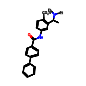 CCN(CC)C(C)c1cc(NC(=O)c2ccc(-c3ccccc3)cc2)ccc1C(=O)O